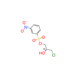 O=[N+]([O-])c1cccc(S(=O)(=O)OC[C@H](O)CCl)c1